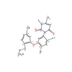 Cn1c(C(F)(F)F)cc(=O)n(-c2cc(Oc3cc(C#N)ccc3OCC(=O)O)c(Br)cc2F)c1=O